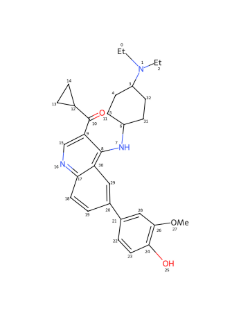 CCN(CC)C1CCC(Nc2c(C(=O)C3CC3)cnc3ccc(-c4ccc(O)c(OC)c4)cc23)CC1